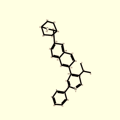 CC(C)c1cnc(-c2ccccc2)cc1-c1ccc2cc(C3CC4CCC3CC4)ccc2c1